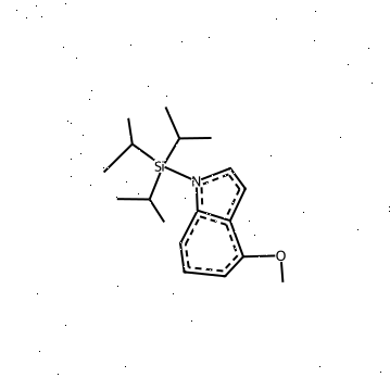 COc1cccc2c1ccn2[Si](C(C)C)(C(C)C)C(C)C